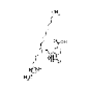 CCCCCCCCCCCCCCCCCc1nc(C)c[nH]1.O=C(O)c1ccc(C(=O)O)c(C(=O)O)c1